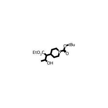 CCOC(=O)C(C(C)O)C1CCN(C(=O)OC(C)(C)C)CC1